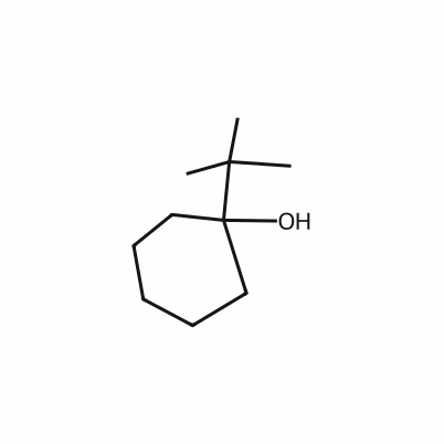 CC(C)(C)C1(O)CCCCC1